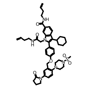 C=CCCNC(=O)Cn1c(-c2ccc(OCc3cc(N4CCCC4=O)ccc3N3CCN(S(C)(=O)=O)CC3)cc2)c(C2CCCCC2)c2ccc(C(=O)NCCC=C)cc21